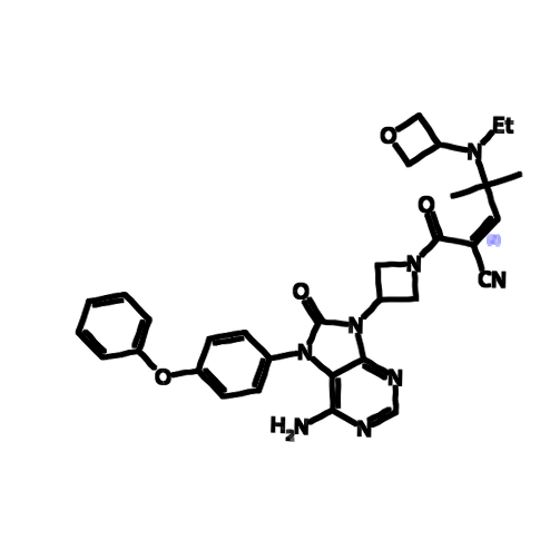 CCN(C1COC1)C(C)(C)/C=C(/C#N)C(=O)N1CC(n2c(=O)n(-c3ccc(Oc4ccccc4)cc3)c3c(N)ncnc32)C1